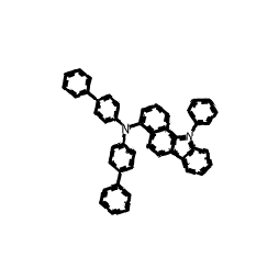 c1ccc(-c2ccc(N(c3ccc(-c4ccccc4)cc3)c3cccc4c3ccc3c5ccccc5n(-c5ccccc5)c43)cc2)cc1